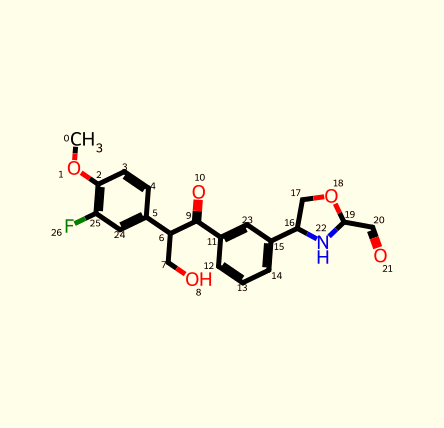 COc1ccc(C(CO)C(=O)c2cccc(C3COC(C=O)N3)c2)cc1F